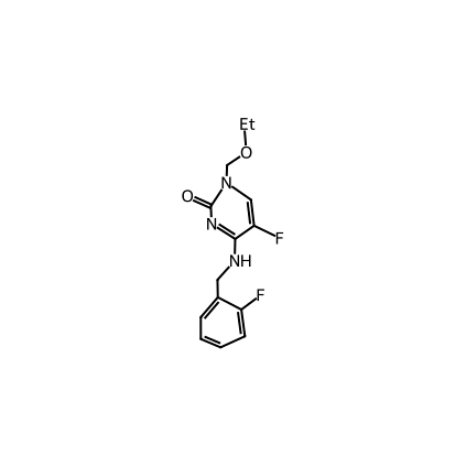 CCOCn1cc(F)c(NCc2ccccc2F)nc1=O